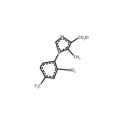 CCOC(=O)c1ncn(-c2ccc(C(F)(F)F)cc2[N+](=O)[O-])c1C